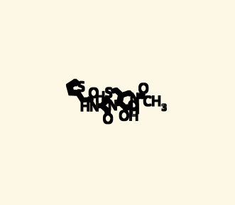 CC(=O)NCC1=C(C(=O)O)N2C(=O)C(NC(=O)Cc3cccs3)[C@H]2SC1